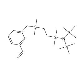 C=Cc1cccc(CS(C)(C)CCS(C)(C)N(S(C)(C)C)S(C)(C)C)c1